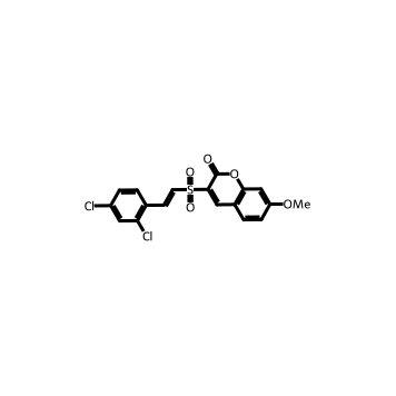 COc1ccc2cc(S(=O)(=O)C=Cc3ccc(Cl)cc3Cl)c(=O)oc2c1